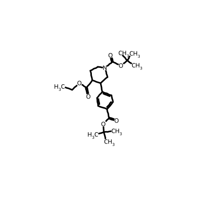 CCOC(=O)C1CCN(C(=O)OC(C)(C)C)CC1c1ccc(C(=O)OC(C)(C)C)cc1